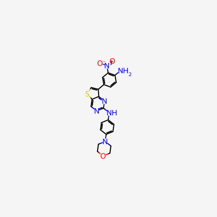 Nc1ccc(-c2csc3cnc(Nc4ccc(N5CCOCC5)cc4)nc23)cc1[N+](=O)[O-]